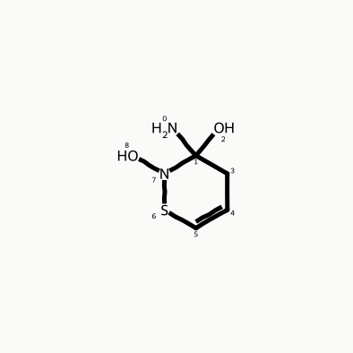 NC1(O)CC=CSN1O